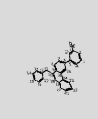 Brc1cccc(-c2ccc3c(Cc4ccccc4)cc4ccccc4c3c2)c1